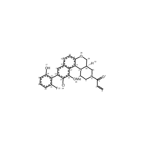 C=CC(=O)N1CCN2c3c(cnc4cc(-c5c(O)cccc5F)c(Cl)c(OC)c34)OC[C@H]2C1